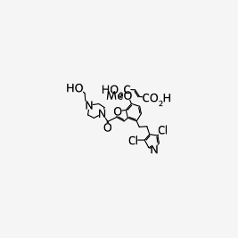 COc1ccc(CCc2c(Cl)cncc2Cl)c2cc(C(=O)N3CCN(CCO)CC3)oc12.O=C(O)/C=C/C(=O)O